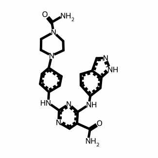 NC(=O)c1cnc(Nc2ccc(N3CCN(C(N)=O)CC3)cc2)nc1Nc1ccc2cn[nH]c2c1